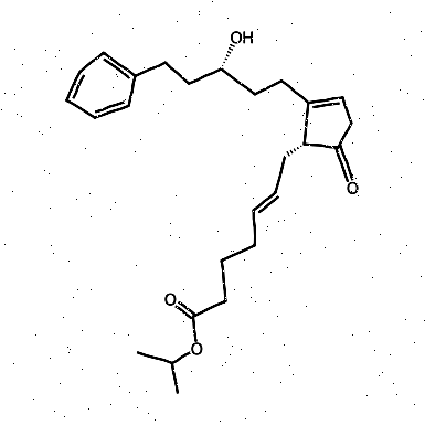 CC(C)OC(=O)CCCC=CC[C@H]1C(=O)CC=C1CC[C@@H](O)CCc1ccccc1